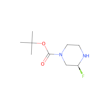 CC(C)(C)OC(=O)N1CCN[C@@H](F)C1